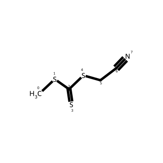 CSC(=S)SCC#N